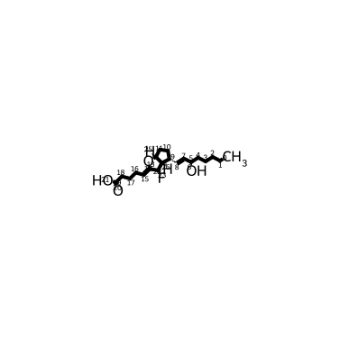 CCCCC[C@H](O)/C=C/[C@H]1CC[C@@H]2O/C(=C\CCCC(=O)O)C(F)[C@@H]21